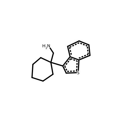 NCC1(c2csc3ccccc23)CCCCC1